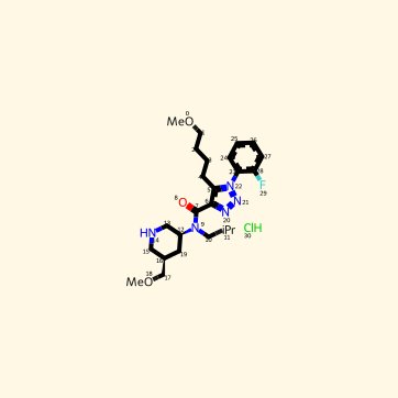 COCCCCc1c(C(=O)N(CC(C)C)[C@@H]2CNC[C@H](COC)C2)nnn1-c1ccccc1F.Cl